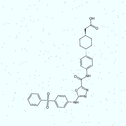 O=C(O)C[C@H]1CC[C@H](c2ccc(NC(=O)c3nnc(Nc4ccc(S(=O)(=O)c5ccccc5)cc4)o3)cc2)CC1